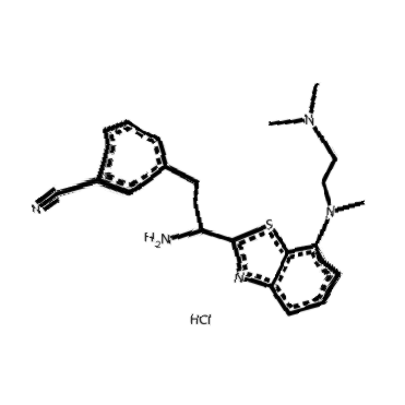 CN(C)CCN(C)c1cccc2nc(C(N)Cc3cccc(C#N)c3)sc12.Cl